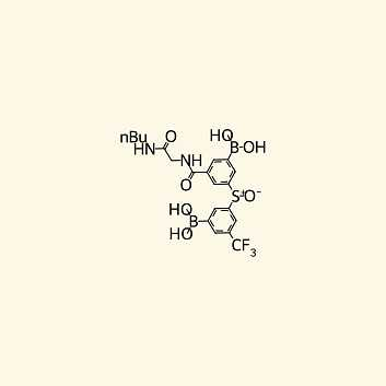 CCCCNC(=O)CNC(=O)c1cc(B(O)O)cc([S+]([O-])c2cc(B(O)O)cc(C(F)(F)F)c2)c1